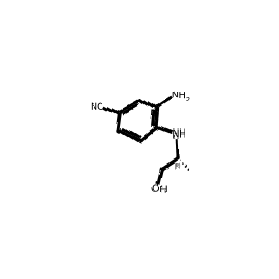 C[C@H](CO)Nc1ccc(C#N)cc1N